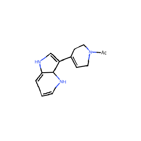 CC(=O)N1CC=C(C2=CNC3=CC=CNC32)CC1